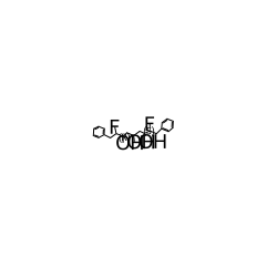 OC(CC(O)[C@@H](F)Cc1ccccc1)C[C@@H](O)C(F)Cc1ccccc1